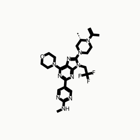 C=C(C)N1CCN(c2nc3c(N4CCOCC4)nc(-c4cnc(NC)nc4)nc3n2CC(F)(F)F)C[C@@H]1C